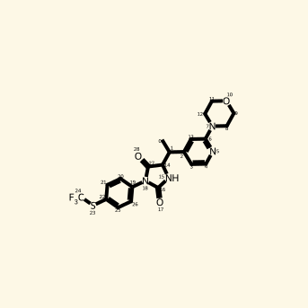 CC(c1ccnc(N2CCOCC2)c1)C1NC(=O)N(c2ccc(SC(F)(F)F)cc2)C1=O